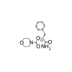 NC(=O)[C@H](Cc1ccccc1)OC(=O)N1CCOCC1